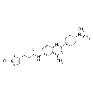 Cc1nc(N2CCC(N(C)C)CC2)nc2ccc(NC(=O)CCc3ccc(Cl)s3)cc12